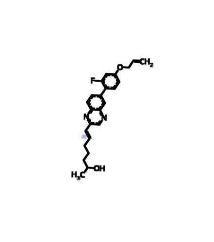 C=CCOc1ccc(-c2ccc3nc(/C=C/CCCC(C)O)cnc3c2)c(F)c1